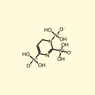 [O-][N+](O)(O)C1=CCN([N+]([O-])(O)O)C([N+]([O-])(O)O)=N1